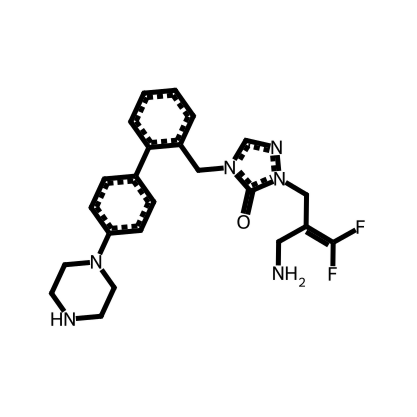 NCC(Cn1ncn(Cc2ccccc2-c2ccc(N3CCNCC3)cc2)c1=O)=C(F)F